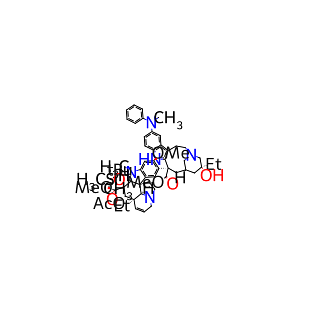 CC[C@]1(O)C[C@H]2CN(CCc3c([nH]c4ccc(N(C)c5ccccc5)cc34)[C@@](C(=O)OC)(c3cc4c(cc3OC)N(C)[C@H]3[C@@](O[Si](C)(C)C(C)(C)C)(C(=O)OC)[C@H](OC(C)=O)[C@]5(CC)C=CCN6CC[C@]43[C@@H]65)C2)C1